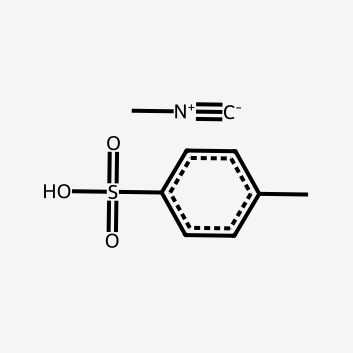 Cc1ccc(S(=O)(=O)O)cc1.[C-]#[N+]C